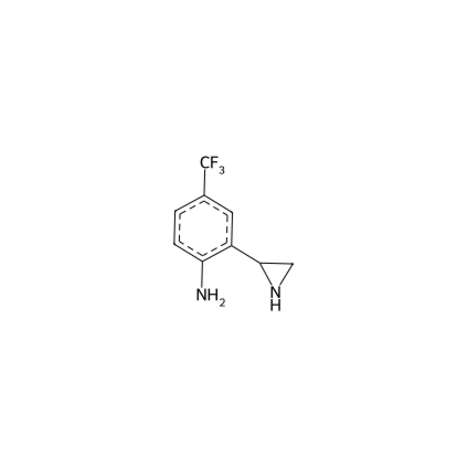 Nc1ccc(C(F)(F)F)cc1C1CN1